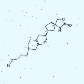 CCOCC=CC1CCc2cc([C@H]3CC[C@]4(COC(=O)N4)C3)ccc2C1